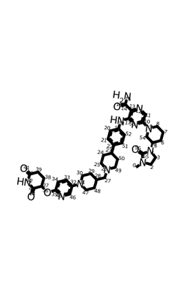 CN1CCN([C@@H]2CCCN(c3cnc(C(N)=O)c(Nc4ccc(C5CCN(CC6CCN(c7ccc(OC8CCC(=O)NC8=O)nc7)CC6)CC5)cc4)n3)C2)C1=O